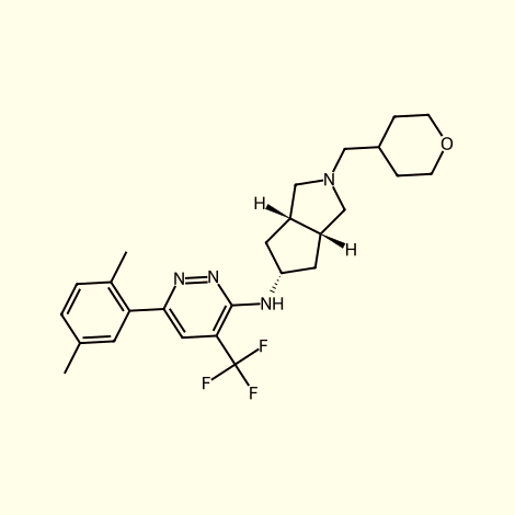 Cc1ccc(C)c(-c2cc(C(F)(F)F)c(N[C@@H]3C[C@@H]4CN(CC5CCOCC5)C[C@@H]4C3)nn2)c1